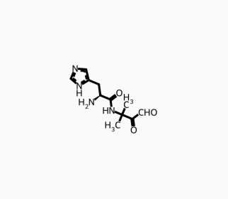 CC(C)(NC(=O)[C@@H](N)Cc1cnc[nH]1)C(=O)C=O